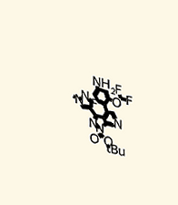 Cn1cc(-c2nn(C(=O)OC(C)(C)C)c3cncc(-c4c(F)cc(N)cc4OC(F)F)c23)cn1